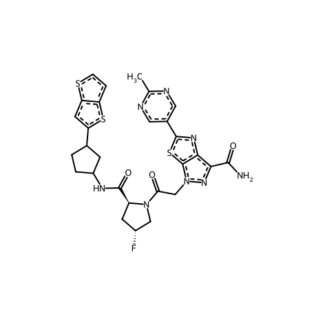 Cc1ncc(-c2nc3c(C(N)=O)nn(CC(=O)N4C[C@H](F)C[C@H]4C(=O)NC4CCC(c5cc6sccc6s5)C4)c3s2)cn1